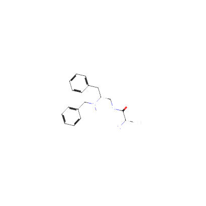 C[C@@H](N)C(=O)NC[C@H](Cc1ccccc1)N(Cc1ccccc1)C(=O)O